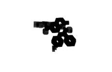 CC1CCc2cc(C(=O)NO)ccc2N1C(=O)/C(=C/c1ccc(F)cc1)c1ccccc1